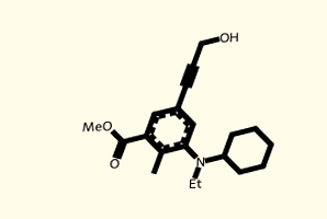 CCN(c1cc(C#CCO)cc(C(=O)OC)c1C)C1CCCCC1